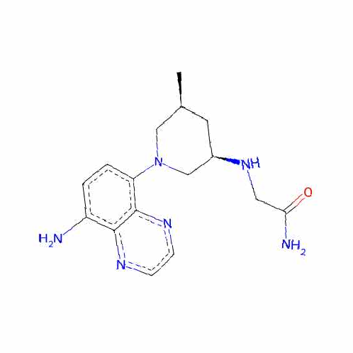 C[C@H]1C[C@@H](NCC(N)=O)CN(c2ccc(N)c3nccnc23)C1